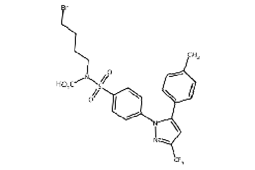 Cc1ccc(-c2cc(C(F)(F)F)nn2-c2ccc(S(=O)(=O)N(CCCCBr)C(=O)O)cc2)cc1